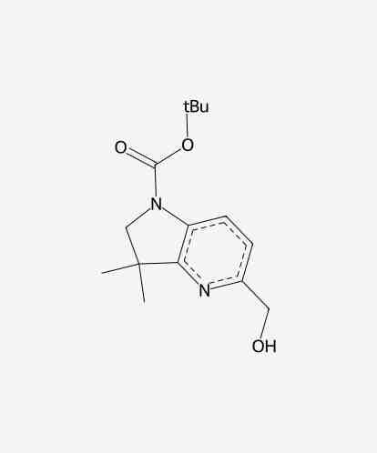 CC(C)(C)OC(=O)N1CC(C)(C)c2nc(CO)ccc21